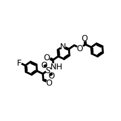 O=CC(c1ccc(F)cc1)S(=O)(=O)NC(=O)c1ccc(COC(=O)c2ccccc2)nc1